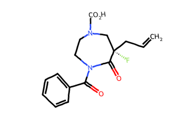 C=CC[C@]1(F)CN(C(=O)O)CCN(C(=O)c2ccccc2)C1=O